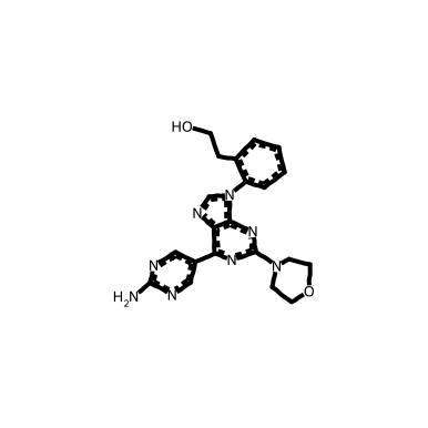 Nc1ncc(-c2nc(N3CCOCC3)nc3c2ncn3-c2ccccc2CCO)cn1